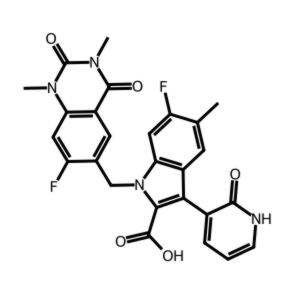 Cc1cc2c(-c3ccc[nH]c3=O)c(C(=O)O)n(Cc3cc4c(=O)n(C)c(=O)n(C)c4cc3F)c2cc1F